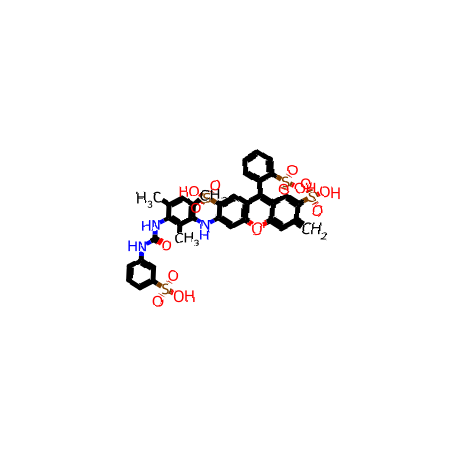 C=c1cc2c(cc1S(=O)(=O)O)=C(c1ccccc1S(=O)(=O)O)c1cc(S(=O)(=O)O)c(Nc3c(C)cc(C)c(NC(=O)Nc4cccc(S(=O)(=O)O)c4)c3C)cc1O2